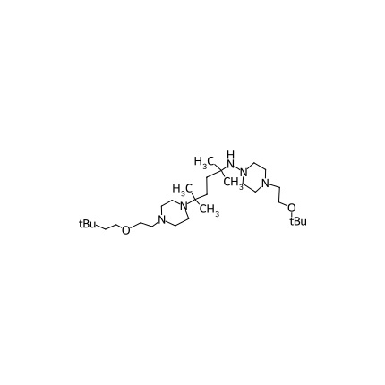 CC(C)(C)CCOCCN1CCN(C(C)(C)CCC(C)(C)NN2CCN(CCOC(C)(C)C)CC2)CC1